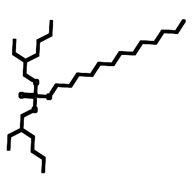 CCCCCCCCCCCCCOP(=O)(OCC(CC)CCCC)OCC(CC)CCCC